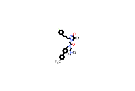 CCc1cn(CC(=O)N(CCN(CC)CC)Cc2ccc(-c3ccc(C(F)(F)F)cc3)cc2)c(CCCc2ccc(F)cc2)nc1=O